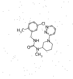 Cc1ccc(Cl)cc1CNC(=O)N(C)C1CCCN(c2cccnn2)C1